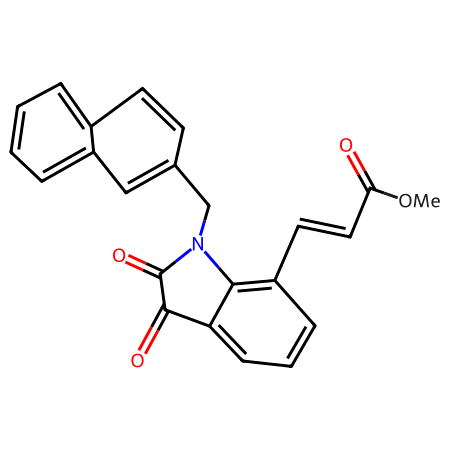 COC(=O)C=Cc1cccc2c1N(Cc1ccc3ccccc3c1)C(=O)C2=O